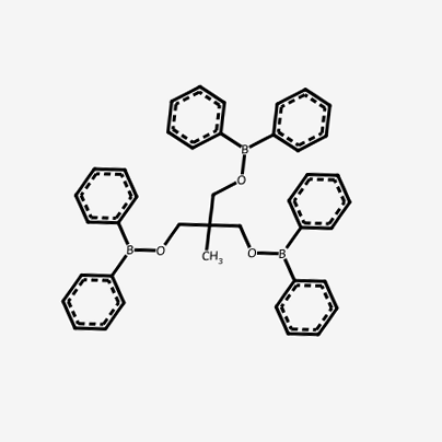 CC(COB(c1ccccc1)c1ccccc1)(COB(c1ccccc1)c1ccccc1)COB(c1ccccc1)c1ccccc1